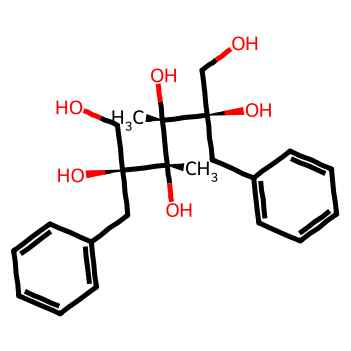 C[C@@](O)([C@@](O)(CO)Cc1ccccc1)[C@](C)(O)[C@](O)(CO)Cc1ccccc1